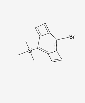 C[Si](C)(C)c1c2ccc2c(Br)c2ccc12